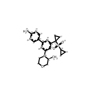 C[C@H]1COCCN1c1cc(C2(S(=O)(=O)C3CC3)CC2)nc(-c2cnc(N)nc2)n1